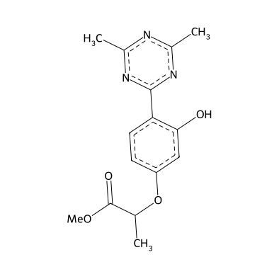 COC(=O)C(C)Oc1ccc(-c2nc(C)nc(C)n2)c(O)c1